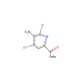 COC(=O)c1cc(Cl)c([N+](=O)[O-])c(Cl)n1